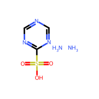 N.N.O=S(=O)(O)c1ncncn1